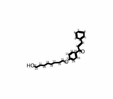 O=C(C=Cc1ccccc1)c1ccc(OCCCCCCCCO)cc1